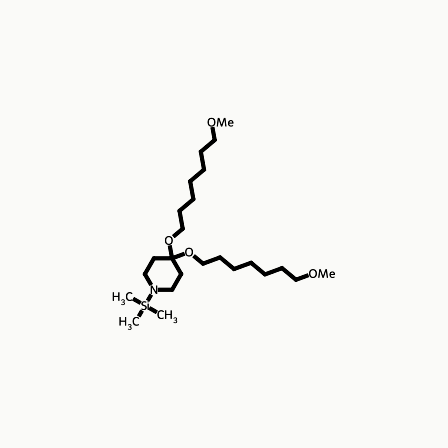 COCCCCCCCOC1(OCCCCCCCOC)CCN([Si](C)(C)C)CC1